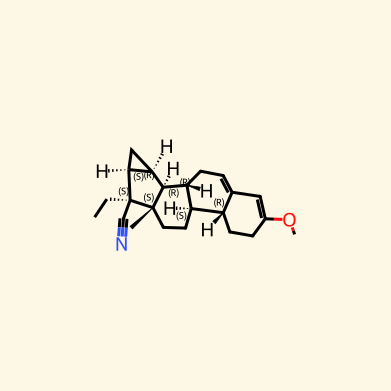 CC[C@]1(C#N)[C@H]2C[C@H]2[C@H]2[C@@H]3CC=C4C=C(OC)CC[C@@H]4[C@H]3CC[C@@]21C